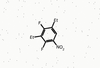 CCc1cc([N+](=O)[O-])c(F)c(CC)c1F